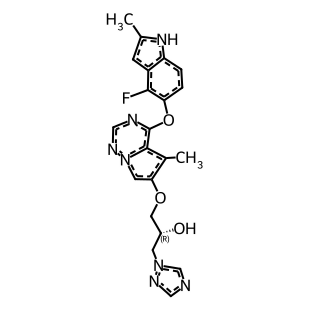 Cc1cc2c(F)c(Oc3ncnn4cc(OC[C@H](O)Cn5cncn5)c(C)c34)ccc2[nH]1